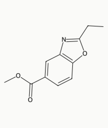 CCc1nc2cc(C(=O)OC)ccc2o1